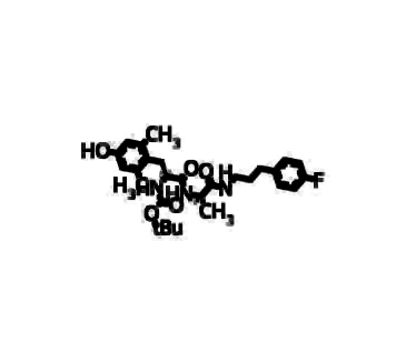 Cc1cc(O)cc(C)c1C[C@H](NC(=O)OC(C)(C)C)C(=O)N[C@H](C)C(=O)NCCCc1ccc(F)cc1